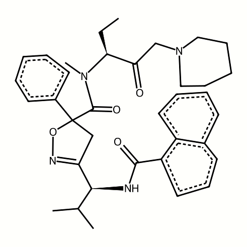 CC[C@@H](C(=O)CN1CCCCC1)N(C)C(=O)C1(c2ccccc2)CC([C@@H](NC(=O)c2cccc3ccccc23)C(C)C)=NO1